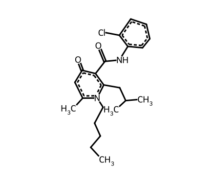 CCCCCn1c(C)cc(=O)c(C(=O)Nc2ccccc2Cl)c1CC(C)C